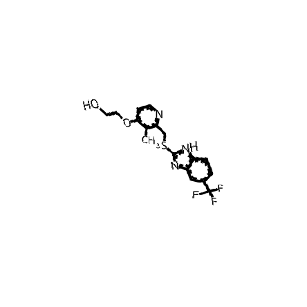 Cc1c(OCCO)ccnc1CSc1nc2cc(C(F)(F)F)ccc2[nH]1